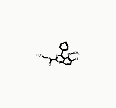 CCOC(=O)c1nc(-c2ccccc2)c2c(NC)c(Cl)ccc2n1